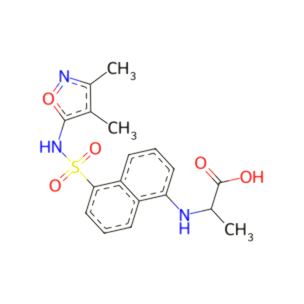 Cc1noc(NS(=O)(=O)c2cccc3c(NC(C)C(=O)O)cccc23)c1C